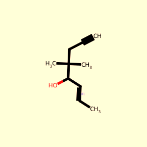 C#CCC(C)(C)C(O)/C=C/C